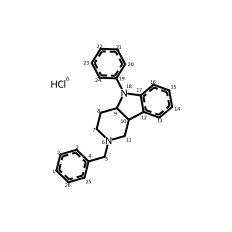 Cl.c1ccc(CN2CCC3C(C2)c2ccccc2N3c2ccccc2)cc1